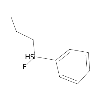 CCC[SiH](F)c1ccccc1